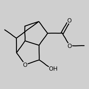 COC(=O)C1C2CC3C(OC(O)C31)C2C